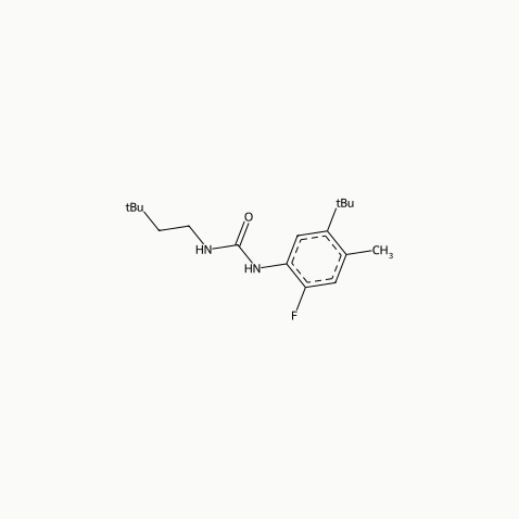 Cc1cc(F)c(NC(=O)NCCC(C)(C)C)cc1C(C)(C)C